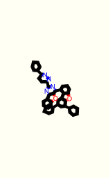 c1ccc(-c2cc(-c3ccccc3)c3oc4cccc(-c5nc(-c6ccc(-c7ccccc7)nn6)nc6c5oc5ccccc56)c4c3c2)cc1